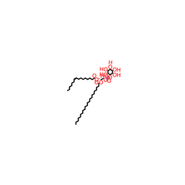 CCCCCC/C=C\CCCCCCCC(=O)OC[C@H](COP(=O)(O)OC1C(O)C(O)C(O)[C@@H](O)C1O)OC(=O)CCCCCCCCCCCCCCCCCCCCC